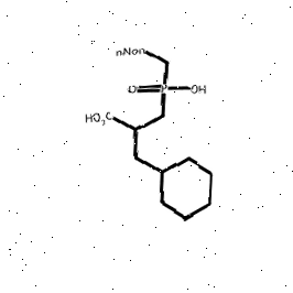 CCCCCCCCCCP(=O)(O)CC(CC1CCCCC1)C(=O)O